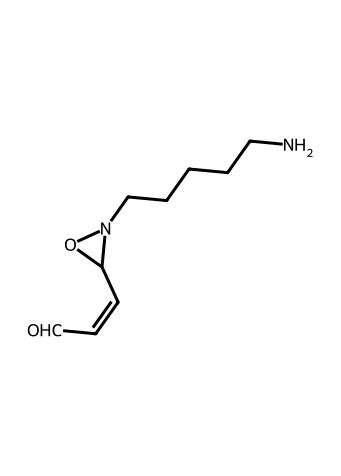 NCCCCCN1OC1/C=C\C=O